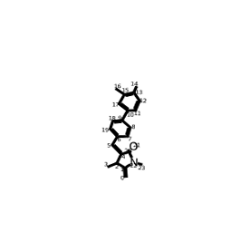 C=C1C(C)/C(=C/c2ccc(-c3ccc(C)c(C)c3)cc2)C(=O)N1C